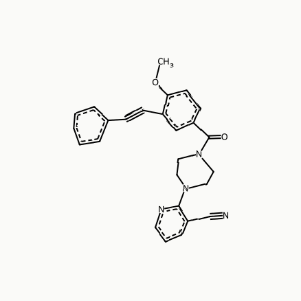 COc1ccc(C(=O)N2CCN(c3ncccc3C#N)CC2)cc1C#Cc1ccccc1